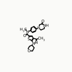 Cc1nn(C2CCOCC2)c2sc(C(=O)N(C)c3ccc(N4CCNC(=O)C4)cc3)cc12